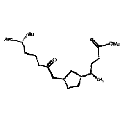 CCCC[C@H](CCCC(=O)C[C@@H]1CC[C@H]([C@H](C)CCC(=O)OC)C1)OC(C)=O